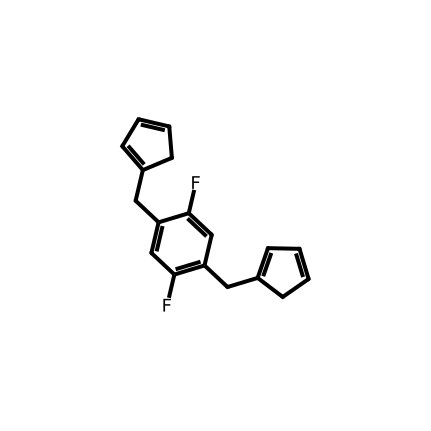 Fc1cc(CC2=CC=CC2)c(F)cc1CC1=CC=CC1